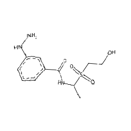 CC(NC(=O)c1cccc(NN)c1)S(=O)(=O)CCO